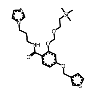 C[Si](C)(C)CCOCOc1cc(OCc2ccsc2)ccc1C(=O)NCCCn1ccnc1